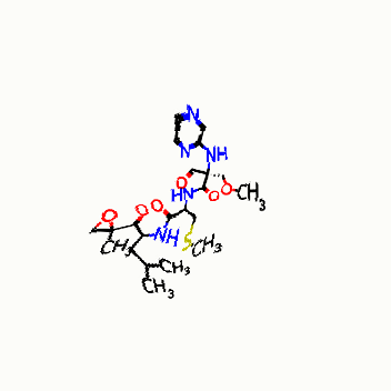 COC[C@](C=O)(Nc1cnccn1)C(=O)NC(CSC)C(=O)NC(CC(C)C)C(=O)C1(C)CO1